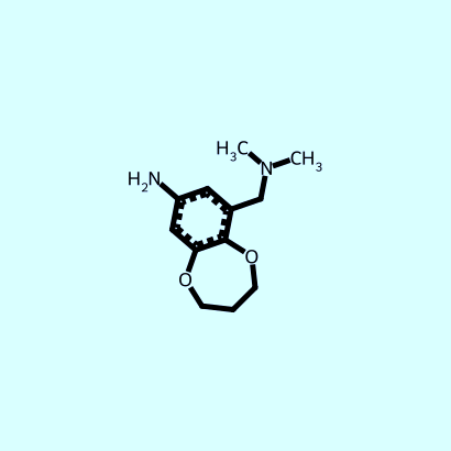 CN(C)Cc1cc(N)cc2c1OCCCO2